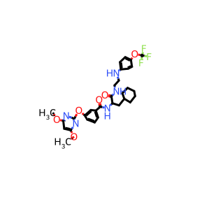 COc1cc(OC)nc(Oc2cccc(C(=O)NC(CC3CCCCC3)C(=O)NCCNc3ccc(OC(F)(F)F)cc3)c2)n1